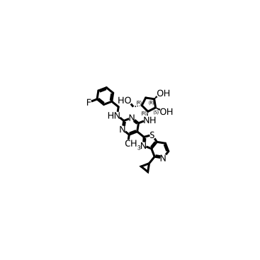 Cc1nc(NCc2cccc(F)c2)nc(N[C@@H]2[C@H](CO)C[C@@H](O)[C@H]2O)c1-c1nc2c(C3CC3)nccc2s1